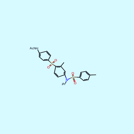 CC(=O)Nc1ccc(S(=O)(=O)c2ccc(N(C(C)C)S(=O)(=O)c3ccc(C)cc3)cc2C)cc1